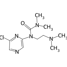 CN(C)CCN(C(=O)N(C)C)c1cncc(Cl)n1